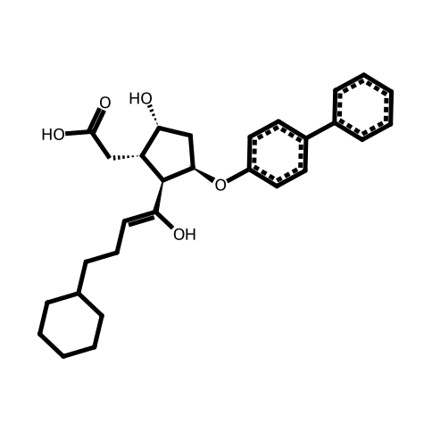 O=C(O)C[C@H]1[C@H](C(O)=CCCC2CCCCC2)[C@H](Oc2ccc(-c3ccccc3)cc2)C[C@H]1O